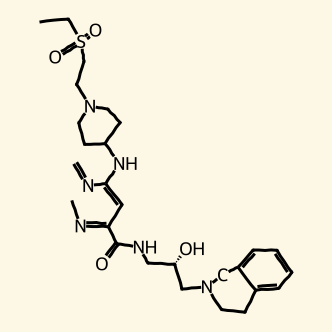 C=N/C(=C\C(=N/C)C(=O)NC[C@H](O)CN1CCc2ccccc2C1)NC1CCN(CCS(=O)(=O)CC)CC1